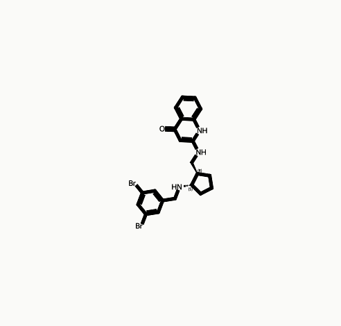 O=c1cc(NC[C@H]2CCC[C@@H]2NCc2cc(Br)cc(Br)c2)[nH]c2ccccc12